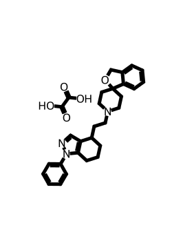 O=C(O)C(=O)O.c1ccc(-n2ncc3c2CCCC3CCN2CCC3(CC2)OCc2ccccc23)cc1